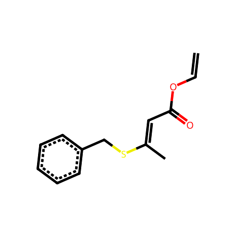 C=COC(=O)C=C(C)SCc1ccccc1